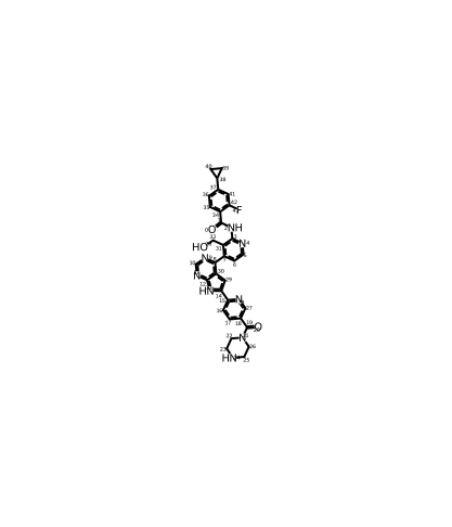 O=C(Nc1nccc(-c2ncnc3[nH]c(-c4ccc(C(=O)N5CCNCC5)cn4)cc23)c1CO)c1ccc(C2CC2)cc1F